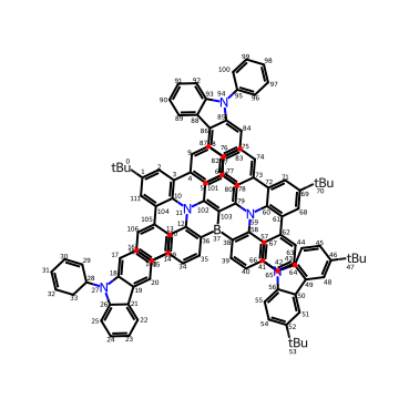 CC(C)(C)c1cc(-c2ccccc2)c(N2c3cc(-c4ccc5c(c4)c4ccccc4n5C4C=CC=CC4)ccc3B3c4ccc(-n5c6ccc(C(C)(C)C)cc6c6cc(C(C)(C)C)ccc65)cc4N(c4c(-c5ccccc5)cc(C(C)(C)C)cc4-c4ccccc4)c4cc(-c5ccc6c(c5)c5ccccc5n6-c5ccccc5)cc2c43)c(-c2ccccc2)c1